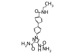 CCCNC(=O)c1ccc(-c2ccc(-n3cc(NC(N)=O)c(C(N)=O)n3)cc2)cc1